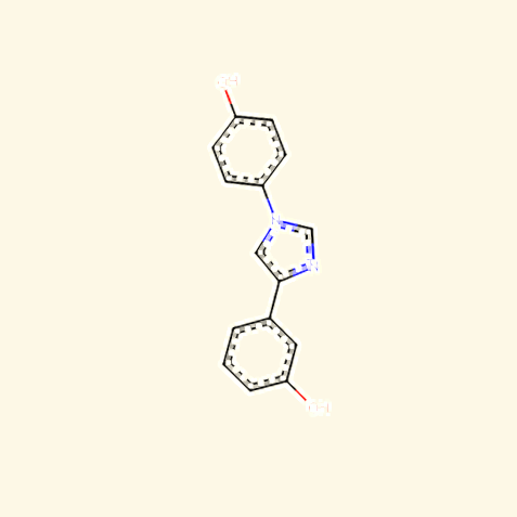 Oc1ccc(-n2cnc(-c3cccc(O)c3)c2)cc1